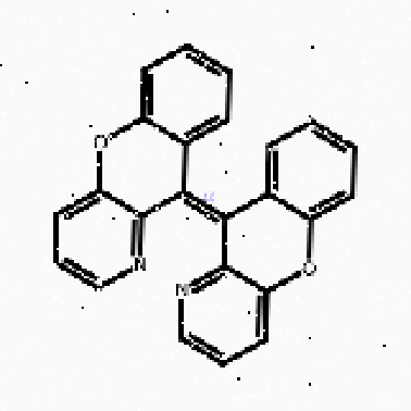 c1ccc2c(c1)Oc1cccnc1/C2=C1/c2ccccc2Oc2cccnc21